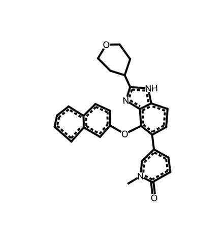 Cn1cc(-c2ccc3[nH]c(C4CCOCC4)nc3c2Oc2ccc3ccccc3c2)ccc1=O